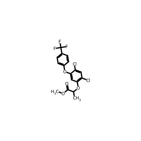 COC(=O)C(C)Oc1cc(Oc2ccc(C(F)(F)F)cc2)c(Cl)cc1Cl